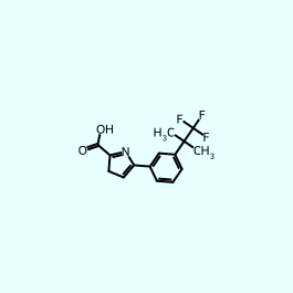 CC(C)(c1cccc(C2=CCC(C(=O)O)=N2)c1)C(F)(F)F